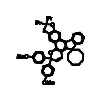 COc1ccc(C2(c3ccc(OC)cc3)C=Cc3c4c(c5cc6c(cc5c3O2)SC(C(C)C)(C(C)C)O6)-c2ccccc2C42CCCCCCC2)cc1